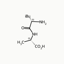 CCC(C)[C@H](N)C(=O)N[C@@H](C)C(=O)O